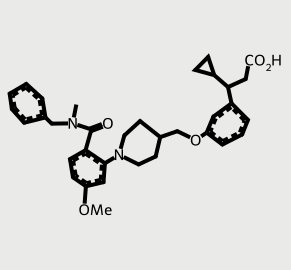 COc1ccc(C(=O)N(C)Cc2ccccc2)c(N2CCC(COc3cccc(C(CC(=O)O)C4CC4)c3)CC2)c1